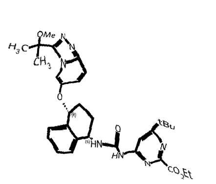 CCOC(=O)c1nc(NC(=O)N[C@H]2CC[C@@H](Oc3ccc4nnc(C(C)(C)OC)n4c3)c3ccccc32)cc(C(C)(C)C)n1